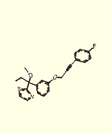 CCC(OC)(c1cccc(OCC#Cc2ccc(F)cc2)c1)c1nccs1